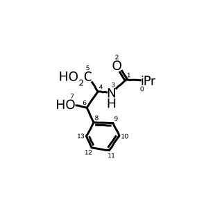 CC(C)C(=O)NC(C(=O)O)C(O)c1ccccc1